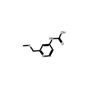 CSCc1cc(NC(=O)O)ccn1